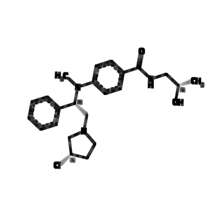 C[C@H](O)CNC(=O)c1ccc(N(C)[C@H](CN2CC[C@H](Cl)C2)c2ccccc2)cc1